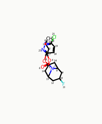 CCCCOC(=O)N1C2CC(F)CC1CC(Oc1ccc(Cl)nn1)C2